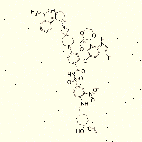 CC(C)c1ccccc1[C@H]1CCC[C@H]1N1CC2(CCN(c3ccc(C(=O)NS(=O)(=O)c4ccc(NC[C@H]5CC[C@](C)(O)CC5)c([N+](=O)[O-])c4)c(Oc4cc5c(F)c[nH]c5nc4OC[C@@H]4COCCO4)c3)CC2)C1